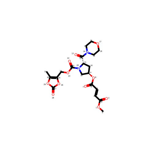 COC(=O)/C=C/C(=O)O[C@@H]1C[C@@H](C(=O)N2CCOCC2)N(C(=O)OCc2oc(=O)oc2C)C1